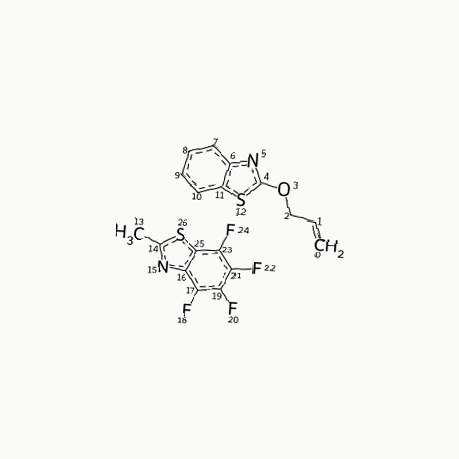 C=CCOc1nc2ccccc2s1.Cc1nc2c(F)c(F)c(F)c(F)c2s1